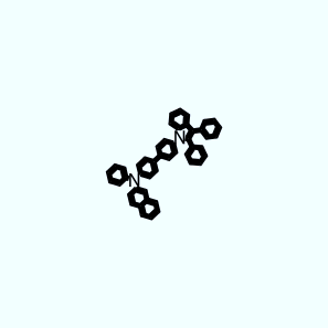 c1ccc(-c2c(-c3ccccc3)n(-c3ccc(-c4ccc(N(c5ccccc5)c5ccc6ccccc6c5)cc4)cc3)c3ccccc23)cc1